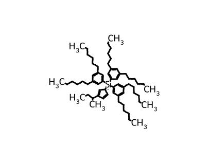 CCCCCCc1cc(CCCCCC)cc([Si]([C]2C=CC(C(C)CC)=C2)(c2cc(CCCCCC)cc(CCCCCC)c2)c2cc(CCCCCC)cc(CCCCCC)c2)c1